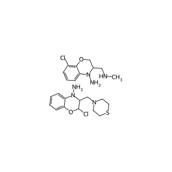 CNCC1COc2c(Cl)cccc2N1N.NN1c2ccccc2OC(Cl)C1CN1CCSCC1